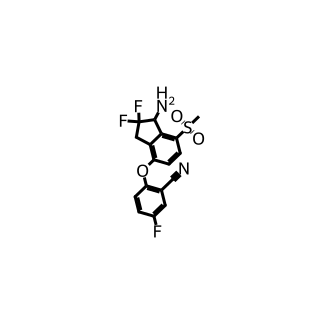 CS(=O)(=O)c1ccc(Oc2ccc(F)cc2C#N)c2c1C(N)C(F)(F)C2